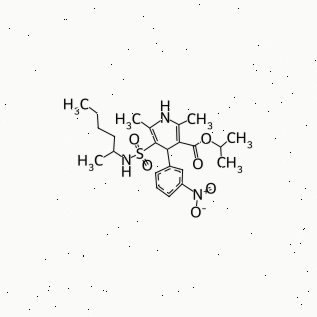 CCCCC(C)NS(=O)(=O)C1=C(C)NC(C)=C(C(=O)OC(C)C)C1c1cccc([N+](=O)[O-])c1